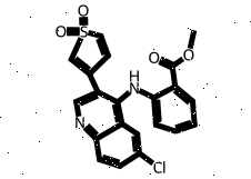 COC(=O)c1ccccc1Nc1c(C2=CS(=O)(=O)C=C2)cnc2ccc(Cl)cc12